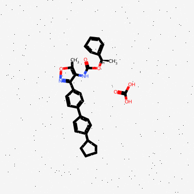 Cc1onc(-c2ccc(-c3ccc(C4CCCC4)cc3)cc2)c1NC(=O)O[C@H](C)c1ccccc1.O=C(O)O